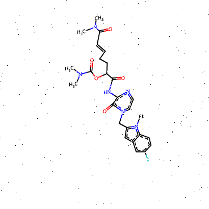 CCn1c(Cn2ccnc(NC(=O)C(CCC=CC(=O)N(C)C)OC(=O)N(C)C)c2=O)cc2cc(F)ccc21